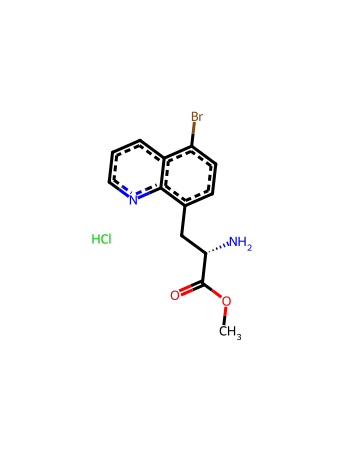 COC(=O)[C@@H](N)Cc1ccc(Br)c2cccnc12.Cl